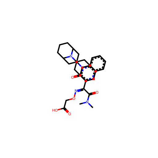 CN(C)C(=O)/C(=N\OCC(=O)O)c1nc2ccccc2n(C2CC3CCCC(C2)N3C2CC3CCCC(C3)C2)c1=O